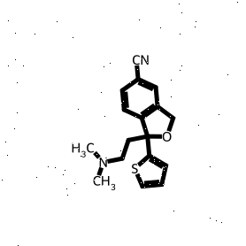 CN(C)CCC1(c2cccs2)OCc2cc(C#N)ccc21